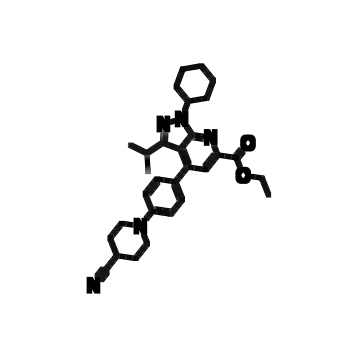 CCOC(=O)c1cc(-c2ccc(N3CCC(C#N)CC3)cc2)c2c(C(C)C)nn(C3CCCCC3)c2n1